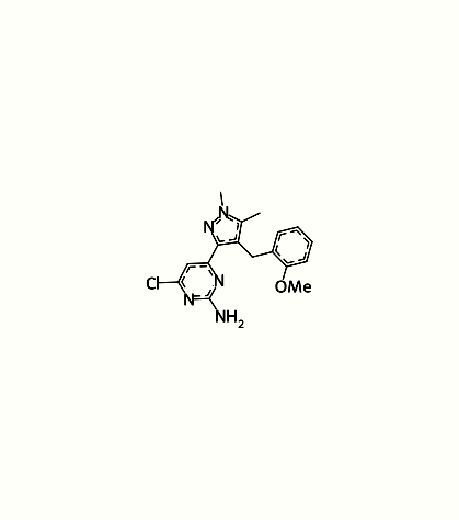 COc1ccccc1Cc1c(-c2cc(Cl)nc(N)n2)nn(C)c1C